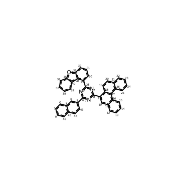 c1ccc2cc(-c3nc(-c4cc5ccccc5c5c4ccc4ccccc45)nc(-c4cccc5oc6ccccc6c45)n3)ccc2c1